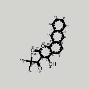 O=C(c1c(O)c2ccc3cc4ccccc4cc3c2oc1=O)C(F)(F)F